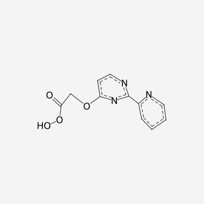 O=C(COc1ccnc(-c2ccccn2)n1)OO